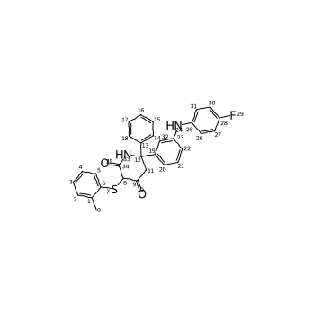 Cc1ccccc1SC1C(=O)CC(c2ccccc2)(c2cccc(Nc3ccc(F)cc3)c2)NC1=O